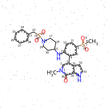 Cn1cc(-c2cc(S(C)(=O)=O)ccc2NC2CCN(S(=O)(=O)Cc3ccccc3)CC2)c2cc[nH]c2c1=O